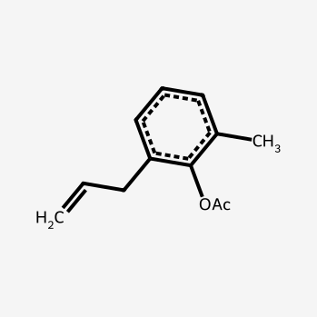 C=CCc1cccc(C)c1OC(C)=O